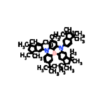 Cc1cc2c3c(c1)N(c1cc4c(cc1C)C(C)(C)CC4(C)C)c1ccc(C(C)(C)C)cc1B3c1cc3c(cc1N2c1ccc2c(c1)C(C)(C)CC2(C)C)C(C)(C)CC3(C)C